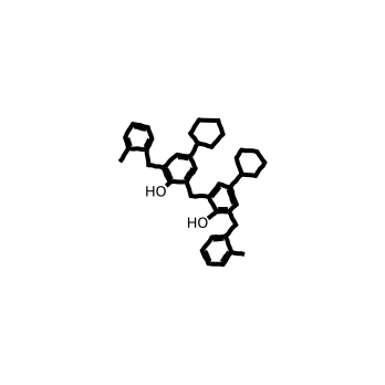 Cc1ccccc1Cc1cc(C2CCCCC2)cc(Cc2cc(C3CCCCC3)cc(Cc3ccccc3C)c2O)c1O